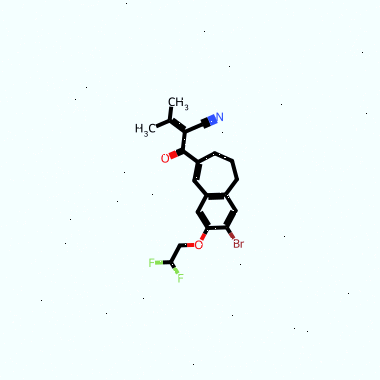 CC(C)=C(C#N)C(=O)C1=Cc2cc(OCC(F)F)c(Br)cc2CCC1